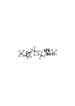 CC(C)(C)Cc1nnc(CC(C)(C)CCC(C)(C)Cc2ccc(CC(C)(C)C)o2)[nH]1